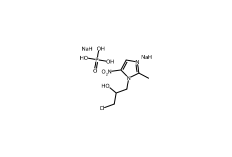 Cc1ncc([N+](=O)[O-])n1CC(O)CCl.O=P(O)(O)O.[NaH].[NaH]